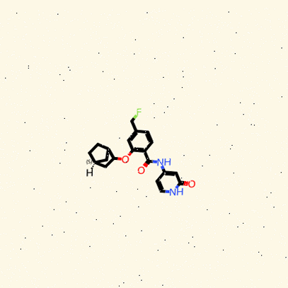 O=C(Nc1cc[nH]c(=O)c1)c1ccc(CF)cc1OC1C[C@H]2CCC1C2